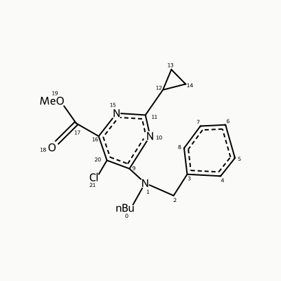 CCCCN(Cc1ccccc1)c1nc(C2CC2)nc(C(=O)OC)c1Cl